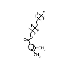 CC1C2CC(C(=O)OCC(F)(F)C(F)(F)CCC(F)(F)C(F)(F)F)C(C2)C1C